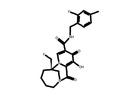 Cc1ccc(CNC(=O)c2cn3c(c(O)c2=O)C(=O)N2CCCC[C@@]3(CF)C2)c(F)c1